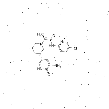 C[C@@H](C(=O)Nc1ccc(Cl)cn1)N1CCC[C@@H](c2c[nH]c(=O)c(N)c2)C1